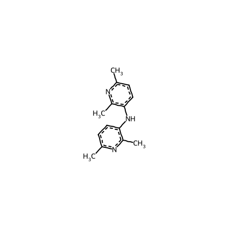 Cc1ccc(Nc2ccc(C)nc2C)c(C)n1